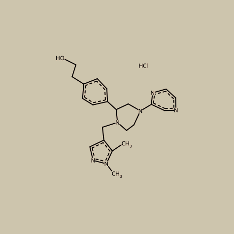 Cc1c(CN2CCN(c3cnccn3)CC2c2ccc(CCO)cc2)cnn1C.Cl